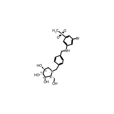 CS(=O)(=O)c1cc(Br)cc(NCc2ccc(CN3C[C@H](O)[C@@H](O)[C@H](O)[C@H]3CO)cc2)c1